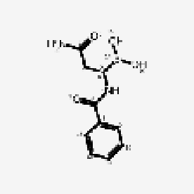 NC(=O)C[C@H](NC(=O)c1ccccc1)B(O)O